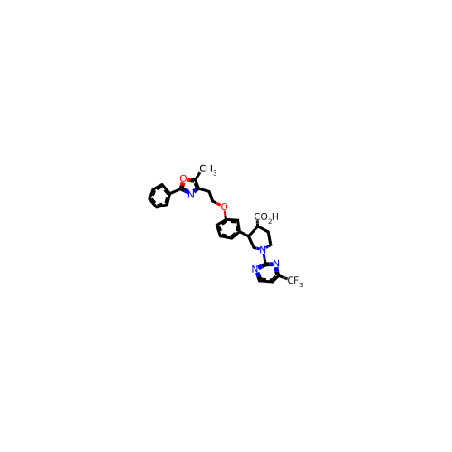 Cc1oc(-c2ccccc2)nc1CCOc1cccc(C2CN(c3nccc(C(F)(F)F)n3)CCC2C(=O)O)c1